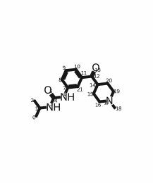 CC(C)NC(=O)Nc1cccc(C(=O)C2CCN(C)CC2)c1